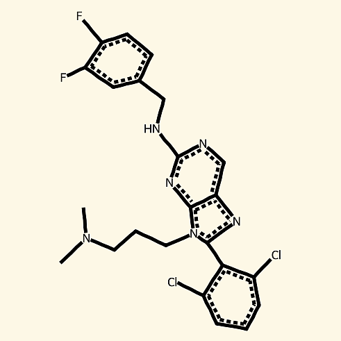 CN(C)CCCn1c(-c2c(Cl)cccc2Cl)nc2cnc(NCc3ccc(F)c(F)c3)nc21